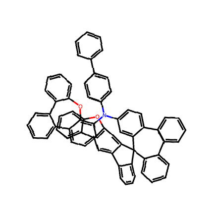 c1ccc(-c2ccc(N(c3ccc4c(c3)C3(c5ccccc5-c5ccccc5-4)c4ccccc4-c4cc5c(cc43)oc3ccccc35)c3cccc4c3Oc3ccccc3-c3ccccc3-4)cc2)cc1